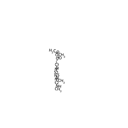 C=CC(=O)OC(C)C(=O)OCCc1ccc(/N=N/c2cc3sc(/N=N/c4ccc(NCC)cc4C)nc3s2)cc1